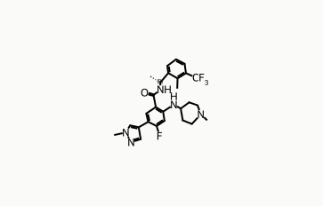 Cc1c([C@@H](C)NC(=O)c2cc(-c3cnn(C)c3)c(F)cc2NC2CCN(C)CC2)cccc1C(F)(F)F